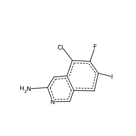 Nc1cc2c(Cl)c(F)c(I)cc2cn1